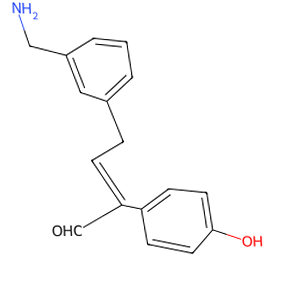 NCc1cccc(CC=C(C=O)c2ccc(O)cc2)c1